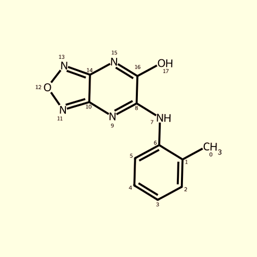 Cc1ccccc1Nc1nc2nonc2nc1O